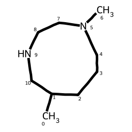 CC1CCCN(C)CCNC1